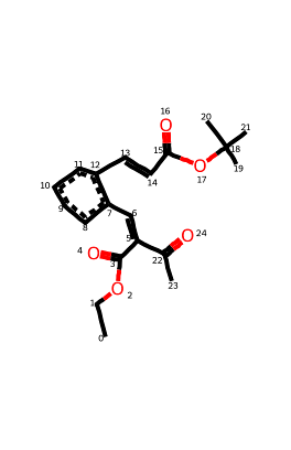 CCOC(=O)C(=Cc1ccccc1C=CC(=O)OC(C)(C)C)C(C)=O